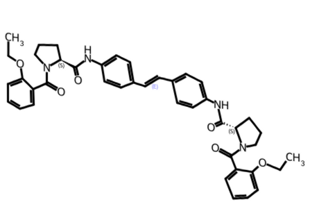 CCOc1ccccc1C(=O)N1CCC[C@H]1C(=O)Nc1ccc(/C=C/c2ccc(NC(=O)[C@@H]3CCCN3C(=O)c3ccccc3OCC)cc2)cc1